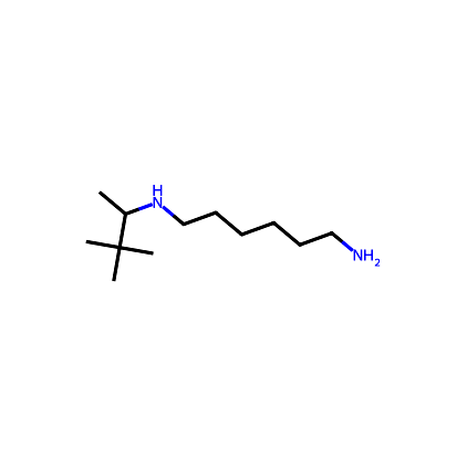 CC(NCCCCCCN)C(C)(C)C